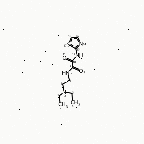 CCN(CC)CCNC(=O)C(=O)Nc1nccs1